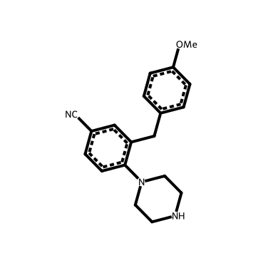 COc1ccc(Cc2cc(C#N)ccc2N2CCNCC2)cc1